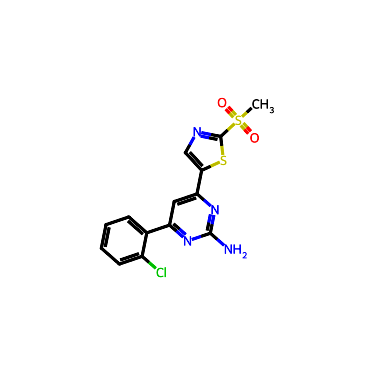 CS(=O)(=O)c1ncc(-c2cc(-c3ccccc3Cl)nc(N)n2)s1